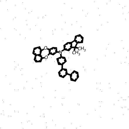 CC1(C)c2ccccc2-c2ccc(N(c3ccc(-c4cccc(-c5ccccc5)c4)cc3)c3ccc4c(c3)Oc3cccc5cccc(c35)O4)cc21